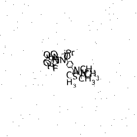 Cc1sc([C@H](C)N(C)C)nc1-c1ccc(C(=O)N[C@@H](CC(C)C)C(=O)N2C[C@H](F)[C@H]3OCC(=O)[C@H]32)cc1